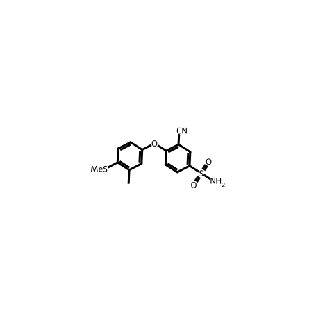 CSc1ccc(Oc2ccc(S(N)(=O)=O)cc2C#N)cc1C